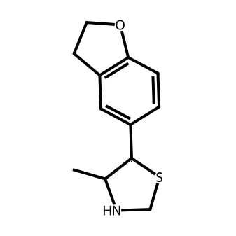 CC1NCS[C]1c1ccc2c(c1)CCO2